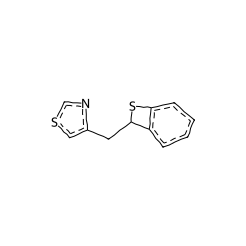 c1ccc2c(c1)SC2Cc1cscn1